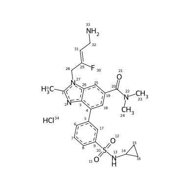 Cc1nc2c(-c3cccc(S(=O)(=O)NC4CC4)c3)cc(C(=O)N(C)C)cc2n1C/C(F)=C/CN.Cl